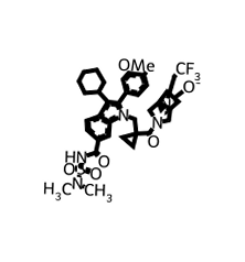 COc1ccc(-c2c(C3CCCCC3)c3ccc(C(=O)NS(=O)(=O)N(C)C)cc3n2CC2(C(=O)N3CC45CCC4(C3)C[N+]([O-])(CC(F)(F)F)C5)CC2)cc1